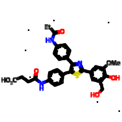 CCC(=O)Nc1ccc(-c2nc(-c3cc(CO)c(O)c(OC)c3)sc2-c2ccc(NC(=O)CCC(=O)O)cc2)cc1